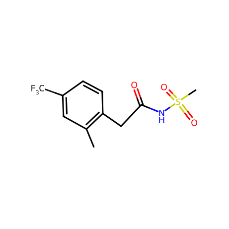 Cc1cc(C(F)(F)F)ccc1CC(=O)NS(C)(=O)=O